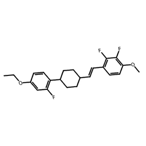 CCOc1ccc(C2CCC(/C=C/c3ccc(OC)c(F)c3F)CC2)c(F)c1